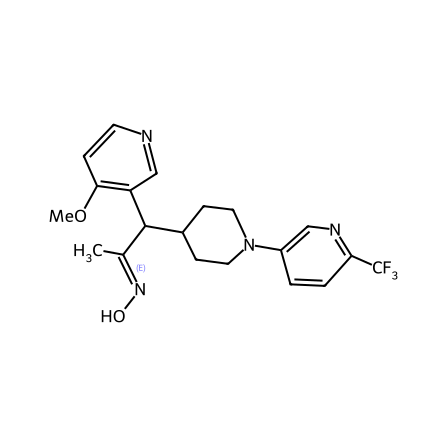 COc1ccncc1C(/C(C)=N/O)C1CCN(c2ccc(C(F)(F)F)nc2)CC1